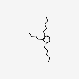 CCCCCn1cc[n+](CCCCC)c1CCCC